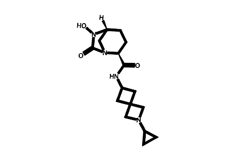 O=C(NC1CC2(C1)CN(C1CC1)C2)[C@@H]1CC[C@@H]2CN1C(=O)N2O